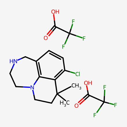 CC1(C)CCN2CCNCc3ccc(Cl)c1c32.O=C(O)C(F)(F)F.O=C(O)C(F)(F)F